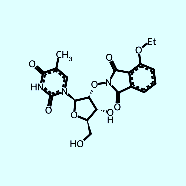 CCOc1cccc2c1C(=O)N(O[C@@H]1[C@H](O)[C@@H](CO)O[C@H]1n1cc(C)c(=O)[nH]c1=O)C2=O